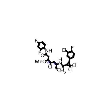 C=C/C(=C\C(Cl)=C(/CC(=O)Nc1ccc(F)cc1F)OC)NC(=O)C1C(c2ccc(F)c(Cl)c2)C1(Cl)Cl